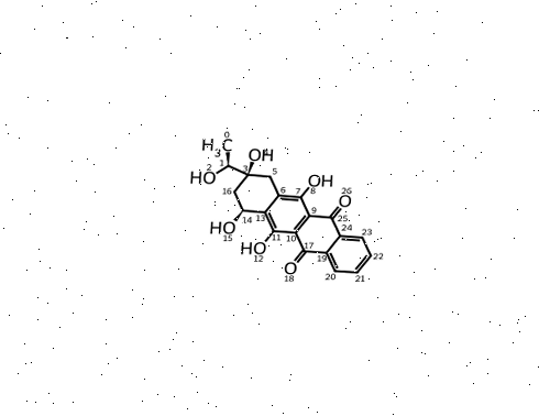 C[C@H](O)[C@]1(O)Cc2c(O)c3c(c(O)c2[C@@H](O)C1)C(=O)c1ccccc1C3=O